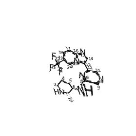 C[C@@H]1NCCC[C@H]1Nc1cncc(-c2cnc3ccc(C(F)(F)F)cn23)n1